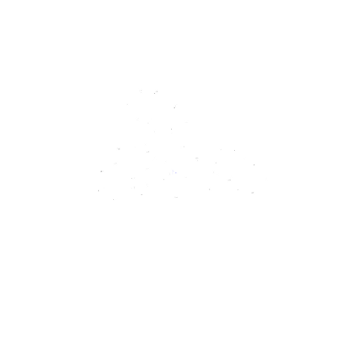 c1cc2c(c(N(c3ccc4c(ccc5ccccc54)c3)c3ccc4c(ccc5ccccc54)c3)c1)-c1cccc3cccc-2c13